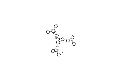 CC12CC=C(c3ccc4c(c3)c3cc(-c5ccc6c(c5)c5ccccc5n6-c5ccccc5)ccc3n4-c3cnc(-c4nc(-c5ccccc5)nc(-c5ccccc5)n4)cn3)C=C1c1ccccc1N2c1ccccc1